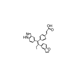 CC/C(=C(/c1ccc(/C=C/C(=O)O)cc1)c1ccc2[nH]ncc2c1)c1ccc2occc2c1